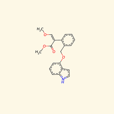 COC=C(C(=O)OC)c1ccccc1COc1cccc2[nH]ccc12